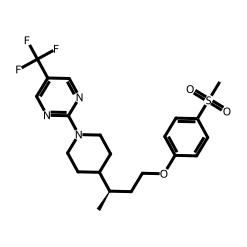 C[C@H](CCOc1ccc(S(C)(=O)=O)cc1)C1CCN(c2ncc(C(F)(F)F)cn2)CC1